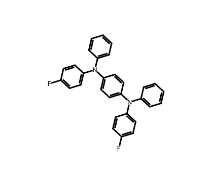 Fc1ccc(N(c2ccccc2)c2ccc(N(c3ccccc3)c3ccc(F)cc3)cc2)cc1